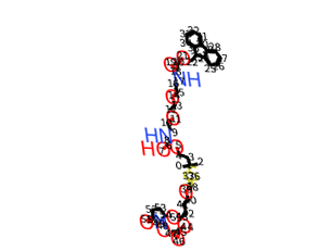 CC(C)(CCOC(O)NCCOCCOCCNC1OC1OCC1c2ccccc2-c2ccccc21)SSCOCCCCOC1OC1ON1C(=O)CCC1=O